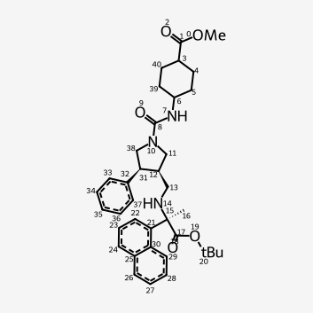 COC(=O)C1CCC(NC(=O)N2C[C@@H](CN[C@@](C)(C(=O)OC(C)(C)C)c3cccc4ccccc34)[C@@H](c3ccccc3)C2)CC1